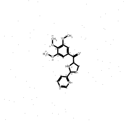 COc1cc(C(=O)C2CSC(c3ccncn3)N2)cc(OC)c1OC